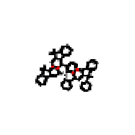 CC1(C)c2ccccc2-c2cc(N(c3ccccc3-c3ccc4c(c3)C(C)(c3ccccc3)c3ccccc3-4)c3ccccc3-c3cccc4c3-c3ccccc3C4(C)C)ccc21